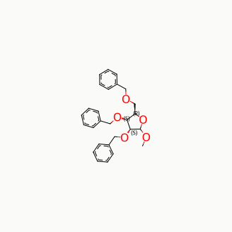 COC1O[C@H](COCc2ccccc2)[C@H](OCc2ccccc2)[C@@H]1OCc1ccccc1